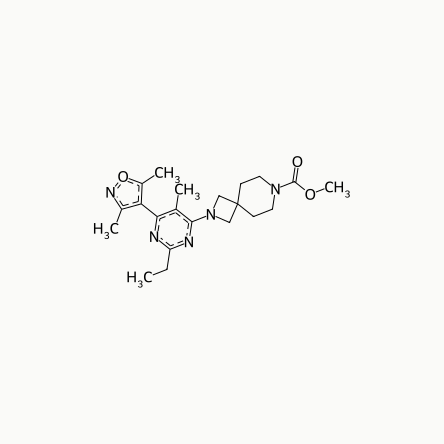 CCc1nc(-c2c(C)noc2C)c(C)c(N2CC3(CCN(C(=O)OC)CC3)C2)n1